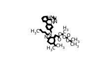 CCCCc1nc2c(n1Cc1ccc(-c3ccccc3-c3nnn[nH]3)cc1)C(=CC(=O)OC(C)OC(=O)OC(C)C)CC(C(C)C)CC2